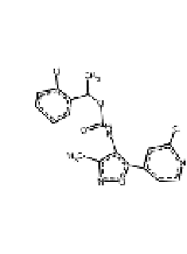 Cc1noc(-c2ccnc(Cl)c2)c1NC(=O)OC(C)c1ccccc1Cl